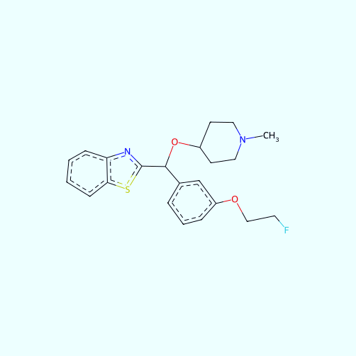 CN1CCC(OC(c2cccc(OCCF)c2)c2nc3ccccc3s2)CC1